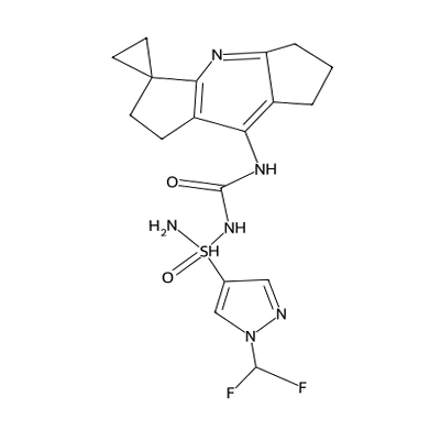 N[SH](=O)(NC(=O)Nc1c2c(nc3c1CCC31CC1)CCC2)c1cnn(C(F)F)c1